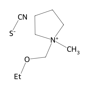 CCOC[N+]1(C)CCCC1.N#C[S-]